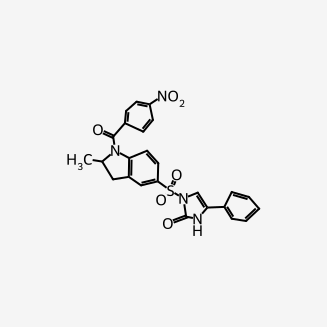 CC1Cc2cc(S(=O)(=O)n3cc(-c4ccccc4)[nH]c3=O)ccc2N1C(=O)c1ccc([N+](=O)[O-])cc1